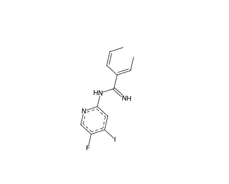 C/C=C\C(=C/C)C(=N)Nc1cc(I)c(F)cn1